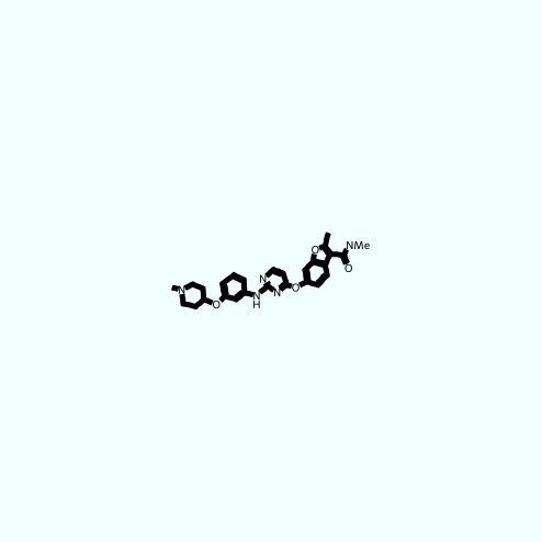 CNC(=O)c1c(C)oc2cc(Oc3ccnc(Nc4cccc(OC5CCN(C)CC5)c4)n3)ccc12